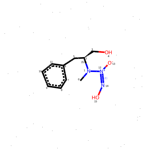 CN([C@H](CO)Cc1ccccc1)/[N+]([O-])=N\O